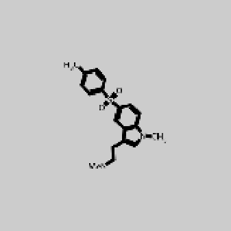 CNCCc1cn(C)c2ccc(S(=O)(=O)c3ccc(C)cc3)cc12